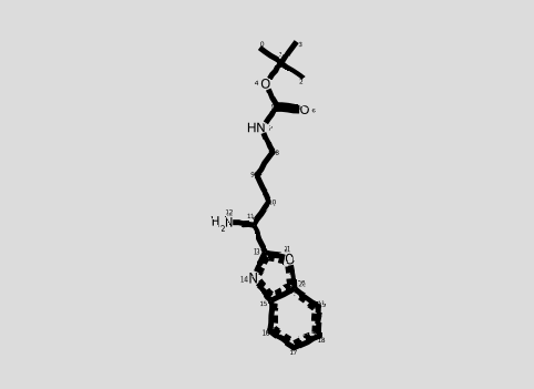 CC(C)(C)OC(=O)NCCCC(N)c1nc2ccccc2o1